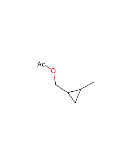 CC(=O)OCC1CC1C